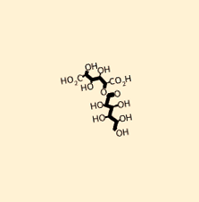 O=C(O)[C@@H](O)[C@H](O)[C@H](O)[C@@H](OC(=O)[C@H](O)[C@@H](O)[C@H](O)[C@H](O)CO)C(=O)O